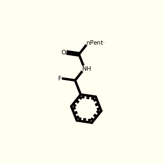 CCCC[CH]C(=O)NC(F)c1ccccc1